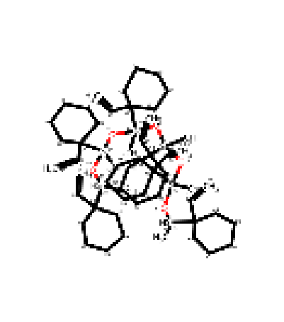 C=CC1([SiH](C)O[Si](C)(O[Si](C)(O[Si](C)(O[Si](C)(O[SiH](C)C2(C=C)CCCCC2)C2(C=C)CCCCC2)C2(C=C)CCCCC2)C2(C=C)CCCCC2)C2(C=C)CCCCC2)CCCCC1